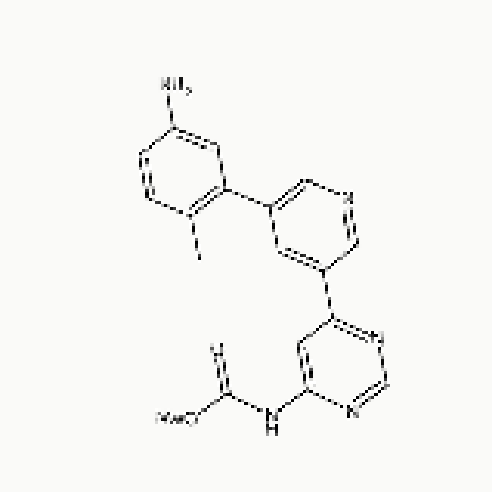 COC(=O)Nc1cc(-c2cncc(-c3cc(N)ccc3C)c2)ncn1